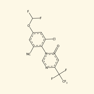 N#Cc1cc(OC(F)F)cc(Cl)c1-n1cnc(C(F)(F)C(F)(F)F)cc1=O